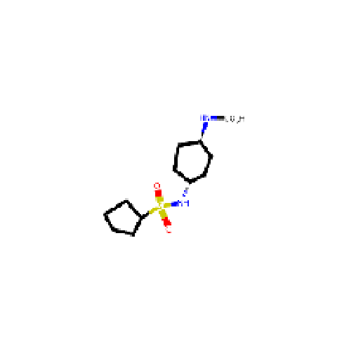 O=C(O)N[C@H]1CC[C@H](NS(=O)(=O)C2CCCC2)CC1